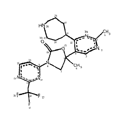 Cc1ncc(C2(C)CN(c3ccnc(C(F)(F)F)n3)C(=O)O2)c(C2CCNCC2)n1